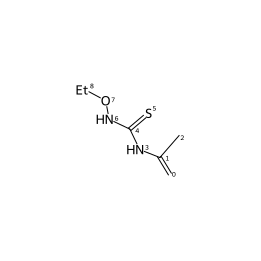 C=C(C)NC(=S)NOCC